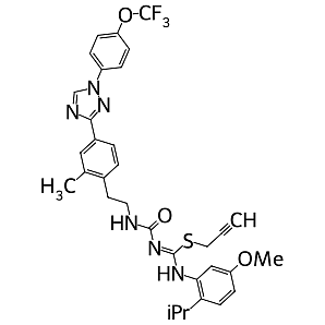 C#CCS/C(=N\C(=O)NCCc1ccc(-c2ncn(-c3ccc(OC(F)(F)F)cc3)n2)cc1C)Nc1cc(OC)ccc1C(C)C